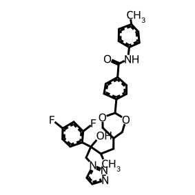 Cc1ccc(NC(=O)c2ccc(C3OCC(CC(C)C(O)(Cn4ccnn4)c4ccc(F)cc4F)CO3)cc2)cc1